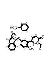 O=C(O)c1ccccc1.[Li][CH2]n1nc(-c2cc(Cn3c(N)nc4ccccc43)ccc2C)ccc1=O